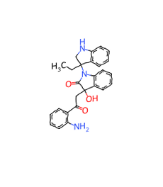 CCC1(N2C(=O)C(O)(CC(=O)c3ccccc3N)c3ccccc32)CNc2ccccc21